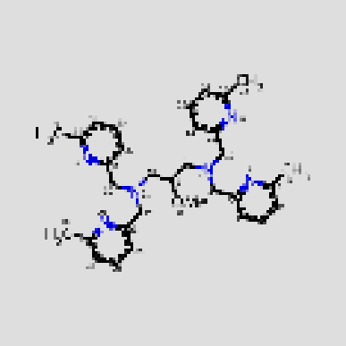 COC(CN(Cc1cccc(C)n1)Cc1cccc(C)n1)CN(Cc1cccc(C)n1)Cc1cccc(C)n1